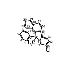 CC1(c2ccccc2)c2cc(Cl)ccc2-c2ccc3ccccc3c21